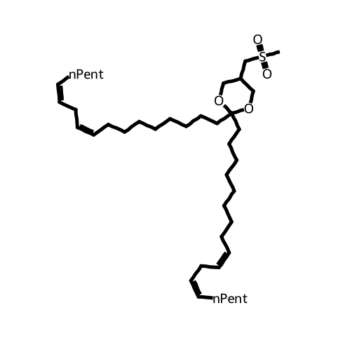 CCCCC/C=C\C/C=C\CCCCCCCCC1(CCCCCCCC/C=C\C/C=C\CCCCC)OCC(CS(C)(=O)=O)CO1